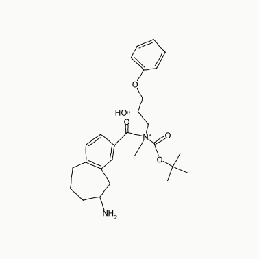 CC(C)(C)OC(=O)[N+](C)(C[C@H](O)COc1ccccc1)C(=O)c1ccc2c(c1)CC(N)CCC2